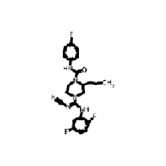 CCCC1CN(/C(=N\C#N)Nc2cc(F)ccc2F)CCN1C(=O)Nc1ccc(F)cc1